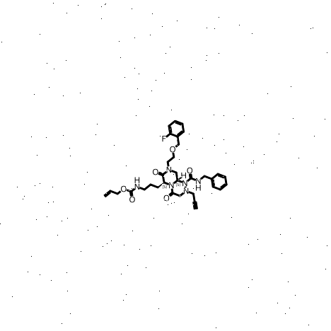 C#CCN1CC(=O)N2[C@@H](CCCNC(=O)OCC=C)C(=O)N(CCOCc3ccccc3F)C[C@@H]2N1C(=O)NCc1ccccc1